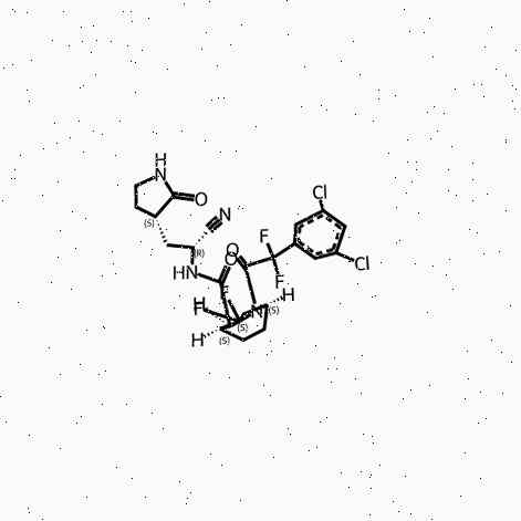 N#C[C@@H](C[C@@H]1CCNC1=O)NC(=O)[C@@H]1[C@@H]2CC[C@@H](CC2(F)F)N1C(=O)C(F)(F)c1cc(Cl)cc(Cl)c1